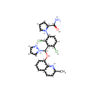 Cc1ccc2cccc(OC(c3c(Cl)ccc(-n4cccc4C(N)=O)c3Cl)n3cccn3)c2n1